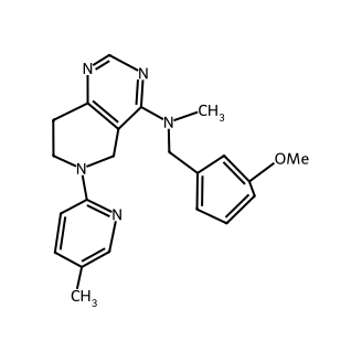 COc1cccc(CN(C)c2ncnc3c2CN(c2ccc(C)cn2)CC3)c1